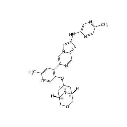 Cc1cnc(Nc2cn3cc(-c4cc(C)ncc4OC4C[C@H]5COC[C@@H](C4)N5)ncc3n2)cn1